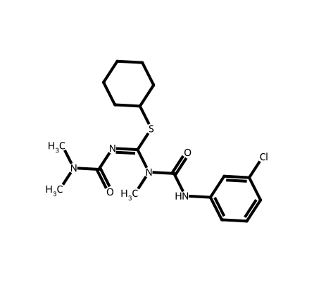 CN(C)C(=O)N=C(SC1CCCCC1)N(C)C(=O)Nc1cccc(Cl)c1